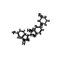 Fc1ccc2c(-c3nc4ccc(N5CCCC(F)C5)cc4[nH]3)n[nH]c2c1